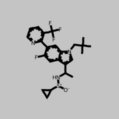 CC(N[S+]([O-])C1CC1)c1cn(CC(C)(C)C)c2cc(-c3ncccc3C(F)(F)F)c(F)cc12